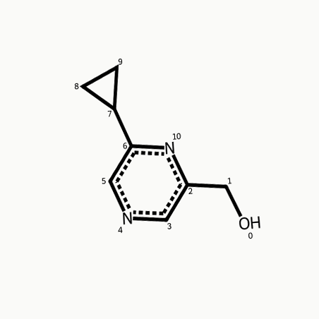 OCc1cncc(C2CC2)n1